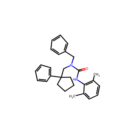 Cc1cccc(C)c1NC(=O)N(Cc1ccccc1)CC1(c2ccccc2)CCCC1